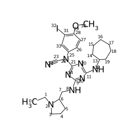 CCN1CCCC1CNc1nc(NC2CCCCCC2)nc(N(C#N)c2ccc(OC)c(I)c2)n1